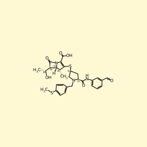 CSc1ccc(CN2C[C@@H](SC3=C(C(=O)O)N4C(=O)[C@H]([C@@H](C)O)[C@H]4[C@H]3C)C[C@H]2C(=O)Nc2cccc(C=O)c2)cc1